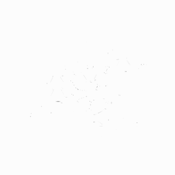 COc1ccc(/N=N/c2cc(OCCO)c(/N=N/c3c(O)ccc4cc(SOOO)cc(-n5nc(C(=O)O)c(/N=N/c6cc(C)c(SOOO)cc6OC)c5O)c34)cc2OCCO)c(S(=O)(=O)O)c1